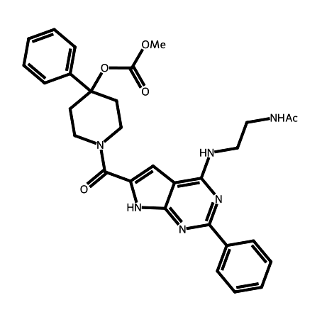 COC(=O)OC1(c2ccccc2)CCN(C(=O)c2cc3c(NCCNC(C)=O)nc(-c4ccccc4)nc3[nH]2)CC1